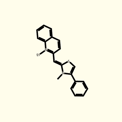 CC[n+]1c(/C=C2\SC=C(c3ccccc3)N2C)ccc2ccccc21